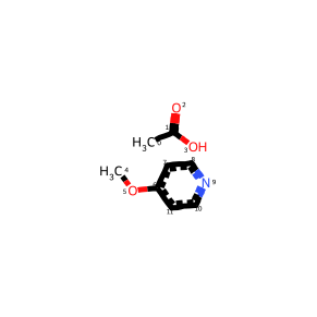 CC(=O)O.COc1ccncc1